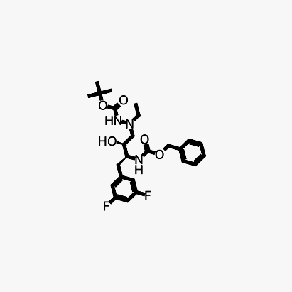 CCN(C[C@H](O)[C@H](Cc1cc(F)cc(F)c1)NC(=O)OCc1ccccc1)NC(=O)OC(C)(C)C